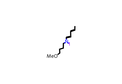 C/C=C/C=C/N(I)CCCCOC